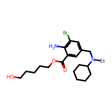 CCN(Cc1cc(Br)c(N)c(C(=O)OCCCCCO)c1)C1CCCCC1